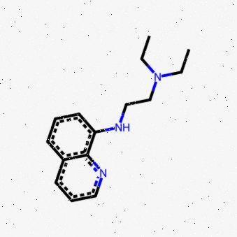 CCN(CC)CCNc1cccc2cccnc12